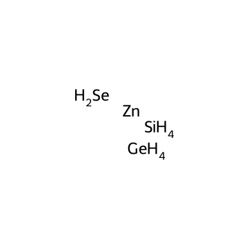 [GeH4].[SeH2].[SiH4].[Zn]